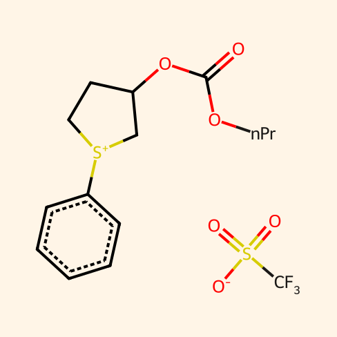 CCCOC(=O)OC1CC[S+](c2ccccc2)C1.O=S(=O)([O-])C(F)(F)F